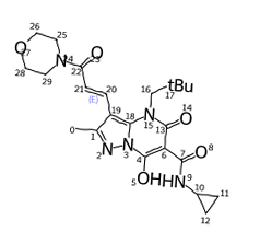 Cc1nn2c(O)c(C(=O)NC3CC3)c(=O)n(CC(C)(C)C)c2c1/C=C/C(=O)N1CCOCC1